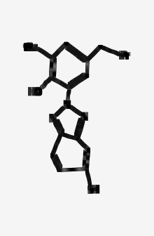 CC(C)Cc1cc(-n2nc3ccc(S)cc3n2)c(O)c(C(C)(C)C)c1